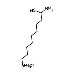 CCCCCCCCCCCCCCCC(N)S